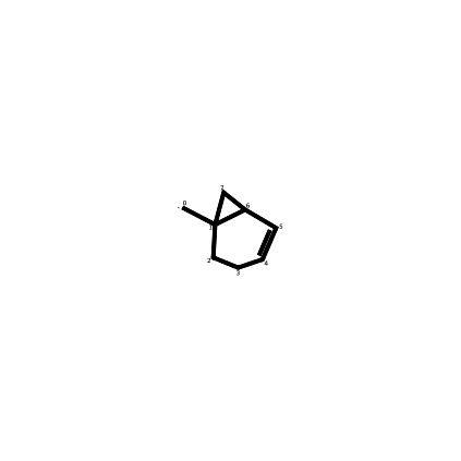 [CH2]C12CCC=CC1C2